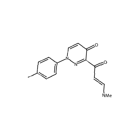 CNC=CC(=O)c1nn(-c2ccc(C)cc2)ccc1=O